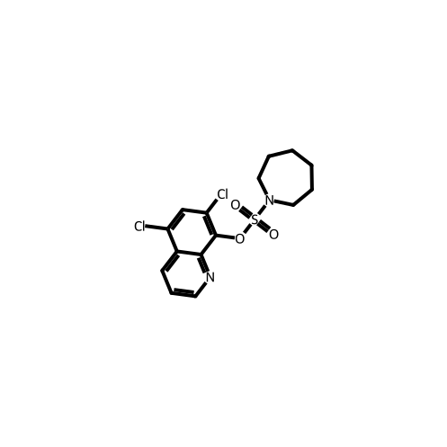 O=S(=O)(Oc1c(Cl)cc(Cl)c2cccnc12)N1CCCCCC1